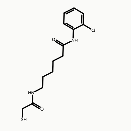 O=C(CS)NCCCCCC(=O)Nc1ccccc1Cl